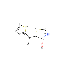 CC(c1cccs1)C1SCNC1=O